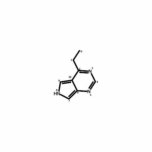 CCc1ncnc2c[nH]cc12